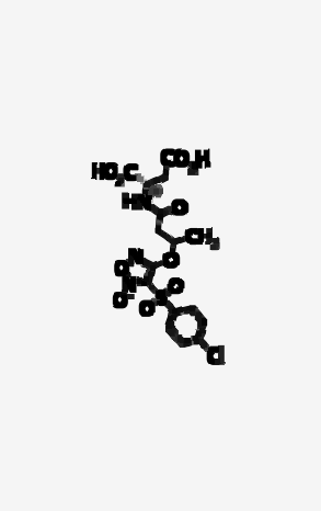 CC(CC(=O)N[C@@H](CC(=O)O)C(=O)O)Oc1no[n+]([O-])c1S(=O)(=O)c1ccc(Cl)cc1